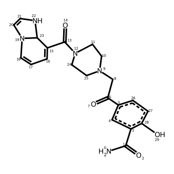 NC(=O)c1cc(C(=O)CN2CCN(C(=O)C3=CC=CN4C=CNC34)CC2)ccc1O